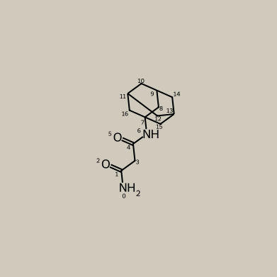 NC(=O)CC(=O)NC12CC3CC(CC(C3)C1)C2